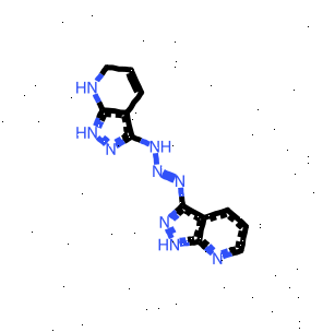 C1=Cc2c(NN=Nc3n[nH]c4ncccc34)n[nH]c2NC1